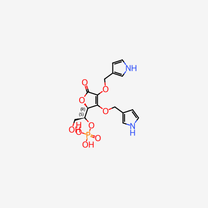 O=C1O[C@H]([C@H](CO)OP(=O)(O)O)C(OCc2cc[nH]c2)=C1OCc1cc[nH]c1